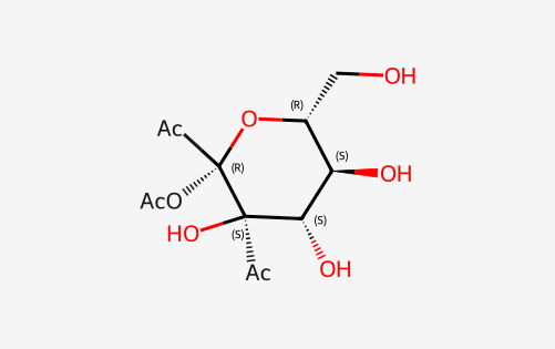 CC(=O)O[C@]1(C(C)=O)O[C@H](CO)[C@@H](O)[C@H](O)[C@]1(O)C(C)=O